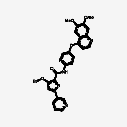 CCOc1cn(-c2cncnc2)nc1C(=O)Nc1ccc(Oc2ccnc3cc(OC)c(OC)cc23)cn1